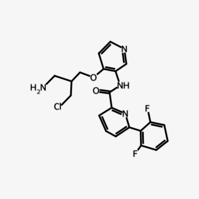 NCC(CCl)COc1ccncc1NC(=O)c1cccc(-c2c(F)cccc2F)n1